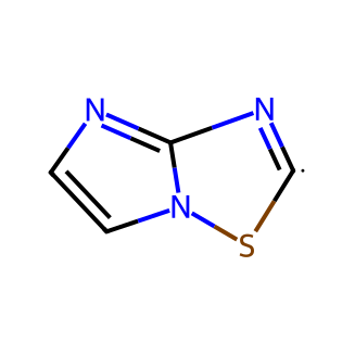 [c]1nc2nccn2s1